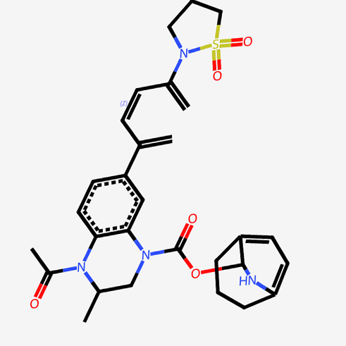 C=C(/C=C\C(=C)N1CCCS1(=O)=O)c1ccc2c(c1)N(C(=O)OC1NC3=CC=C1CCC3)CC(C)N2C(C)=O